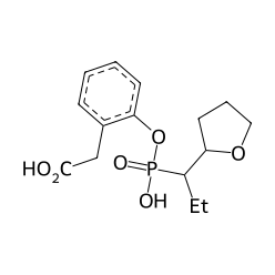 CCC(C1CCCO1)P(=O)(O)Oc1ccccc1CC(=O)O